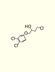 OC(CCCl)COc1ccc(Cl)c(Cl)c1